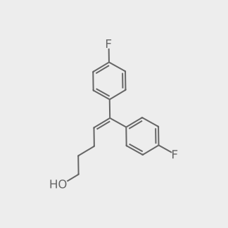 OCCCC=C(c1ccc(F)cc1)c1ccc(F)cc1